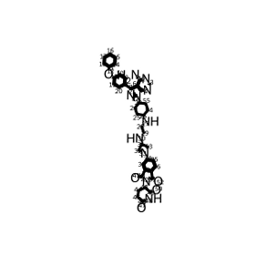 Nc1ncnc2c1c(-c1ccc(Oc3ccccc3)cc1)nn2C1CCC(NCCNC2CN(c3ccc4c(c3)C(=O)N(C3CCC(=O)NC3=O)C4=O)C2)CC1